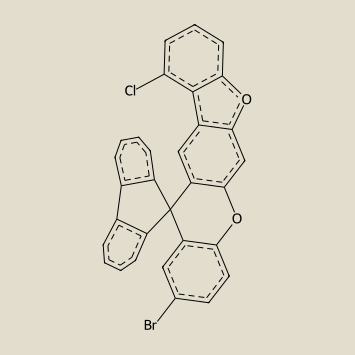 Clc1cccc2oc3cc4c(cc3c12)C1(c2cc(Br)ccc2O4)c2ccccc2-c2ccccc21